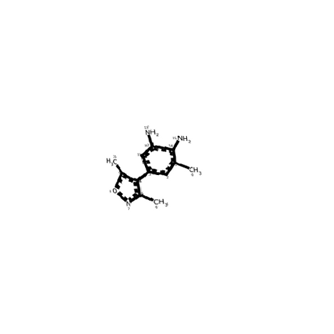 Cc1cc(-c2c(C)noc2C)cc(N)c1N